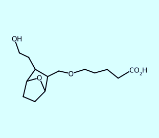 O=C(O)CCCCOCC1C2CCC(O2)C1CCO